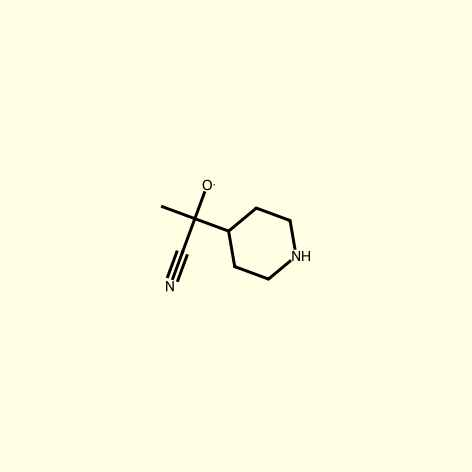 CC([O])(C#N)C1CCNCC1